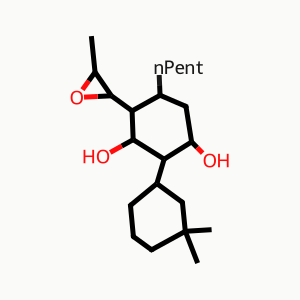 CCCCCC1CC(O)C(C2CCCC(C)(C)C2)C(O)C1C1OC1C